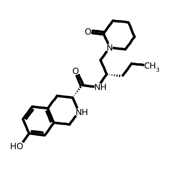 CCC[C@@H](CN1CCCCC1=O)NC(=O)[C@H]1Cc2ccc(O)cc2CN1